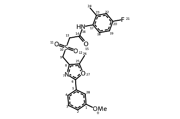 COc1cccc(-c2nc(CS(=O)(=O)CC(=O)Nc3ccc(F)cc3C)c(C)o2)c1